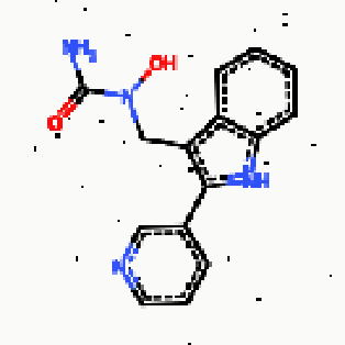 NC(=O)N(O)Cc1c(-c2cccnc2)[nH]c2ccccc12